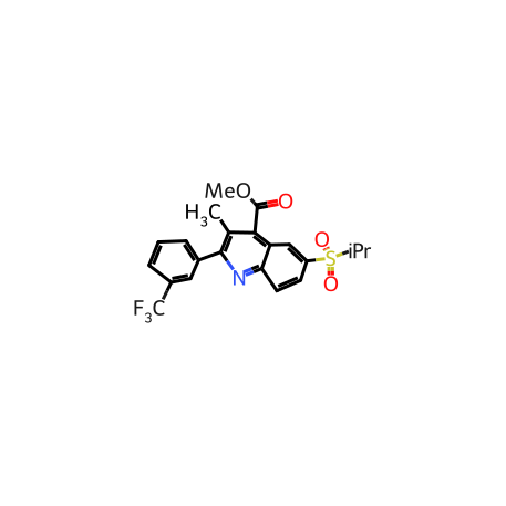 COC(=O)c1c(C)c(-c2cccc(C(F)(F)F)c2)nc2ccc(S(=O)(=O)C(C)C)cc12